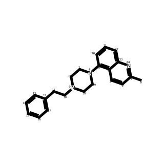 Cc1ccc2c(N3CCN(CCc4[c]cccc4)CC3)cccc2n1